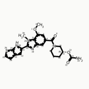 COc1cc(C(=O)N2CCC[C@@H](OC(N)=O)C2)cc2nc(-c3cc4ccsc4[nH]3)n(C)c12